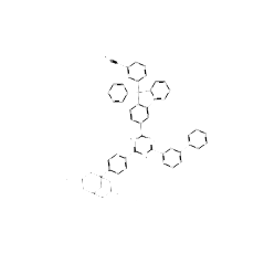 C[C@@H]1C[C@@H]2C[C@H](C)CC(c3ccc(-c4nc(-c5cccc(-c6ccccc6)c5)nc(-c5ccc6c(c5)-c5ccccc5C6(c5ccccc5)c5cccc(C#N)c5)n4)cc3)(C1)C2